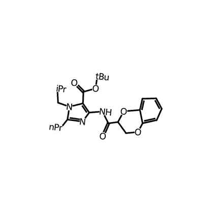 CCCc1nc(NC(=O)C2COc3ccccc3O2)c(C(=O)OC(C)(C)C)n1CC(C)C